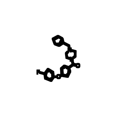 O=C(c1ccc(Oc2ccc(F)cc2)cc1)N1CCN(CC2CC3C=CC2C3)CC1